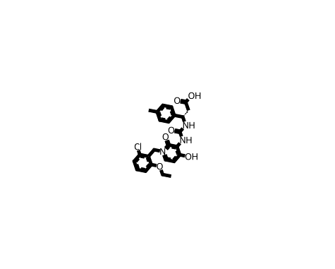 CCOc1cccc(Cl)c1Cn1ccc(O)c(NC(=O)N[C@@H](CC(=O)O)c2ccc(C)cc2)c1=O